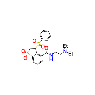 CCN(CC)CCNC(=O)c1cccc2c1C(S(=O)(=O)c1ccccc1)CS2(=O)=O